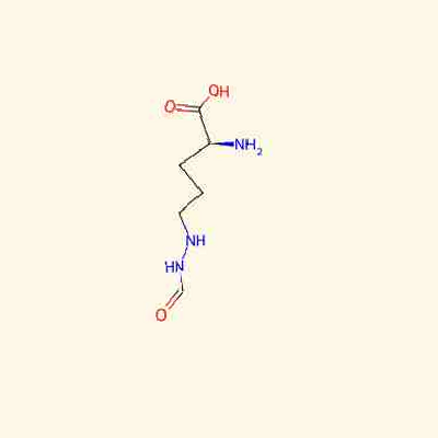 N[C@@H](CCCNNC=O)C(=O)O